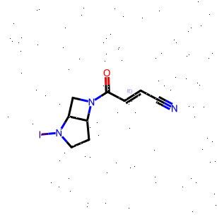 N#C/C=C/C(=O)N1CC2C1CCN2I